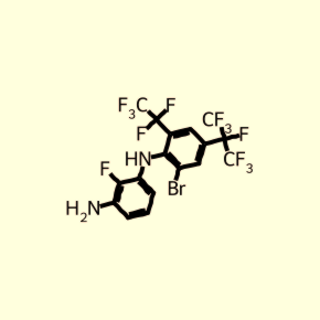 Nc1cccc(Nc2c(Br)cc(C(F)(C(F)(F)F)C(F)(F)F)cc2C(F)(F)C(F)(F)F)c1F